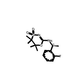 C[C@H](NC1=NS(=O)(=O)C(C)(C)C(C)(C)O1)c1ccccc1F